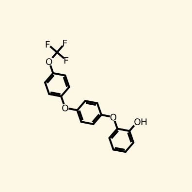 Oc1ccccc1Oc1ccc(Oc2ccc(OC(F)(F)F)cc2)cc1